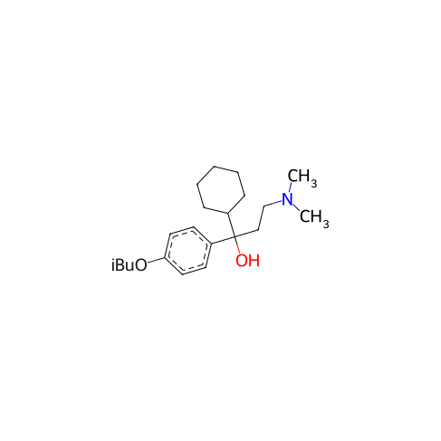 CC(C)COc1ccc(C(O)(CCN(C)C)C2CCCCC2)cc1